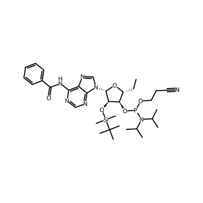 CC[C@H]1O[C@@H](n2cnc3c(NC(=O)c4ccccc4)ncnc32)[C@H](O[Si](C)(C)C(C)(C)C)[C@@H]1OP(OCCC#N)N(C(C)C)C(C)C